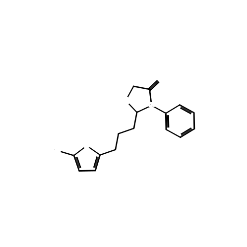 CC(=O)c1ccc(CCCC2OCC(=O)N2c2ccccc2)s1